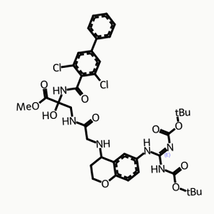 COC(=O)C(O)(CNC(=O)CNC1CCOc2ccc(N/C(=N\C(=O)OC(C)(C)C)NC(=O)OC(C)(C)C)cc21)NC(=O)c1c(Cl)cc(-c2ccccc2)cc1Cl